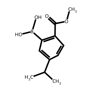 COC(=O)c1ccc(C(C)C)cc1B(O)O